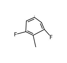 Cc1c(F)c[c]cc1F